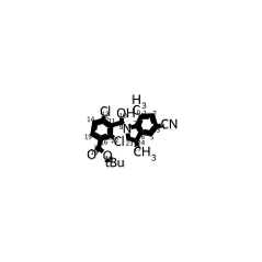 Cc1cc(C#N)cc2c1N(C(O)c1c(Cl)ccc(C(=O)OC(C)(C)C)c1Cl)CC2C